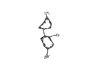 CCc1cc(Br)ccc1-c1ccc(C)cc1